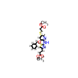 COC(=O)CCSc1cnc(Nc2nc(CCC(=O)OC)cs2)c(OCc2ccccc2)c1